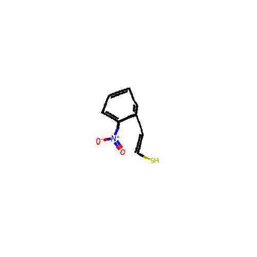 O=[N+]([O-])c1ccccc1C=CS